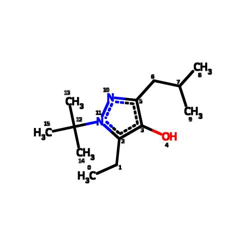 CCc1c(O)c(CC(C)C)nn1C(C)(C)C